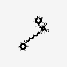 O=c1c(NCCCCCCOc2ccccc2)c(Nc2ccncc2)c1=O